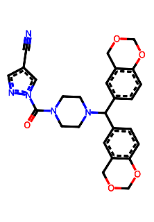 N#Cc1cnn(C(=O)N2CCN(C(c3ccc4c(c3)COCO4)c3ccc4c(c3)COCO4)CC2)c1